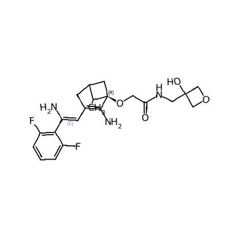 CC1C2CC(/C=C(\N)c3c(F)cccc3F)=C(N)[C@@]1(OCC(=O)NCC1(O)COC1)C2